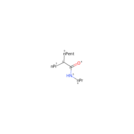 CCCCCC(CCC)C(=O)NCCC